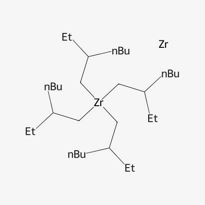 CCCCC(CC)[CH2][Zr]([CH2]C(CC)CCCC)([CH2]C(CC)CCCC)[CH2]C(CC)CCCC.[Zr]